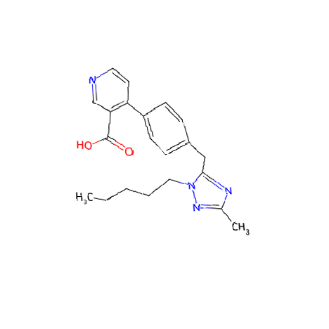 CCCCCn1nc(C)nc1Cc1ccc(-c2ccncc2C(=O)O)cc1